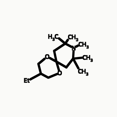 CCC1COC2(CC(C)(C)N(C)C(C)(C)C2)OC1